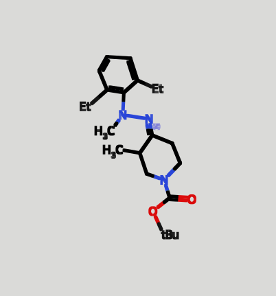 CCc1cccc(CC)c1N(C)/N=C1/CCN(C(=O)OC(C)(C)C)CC1C